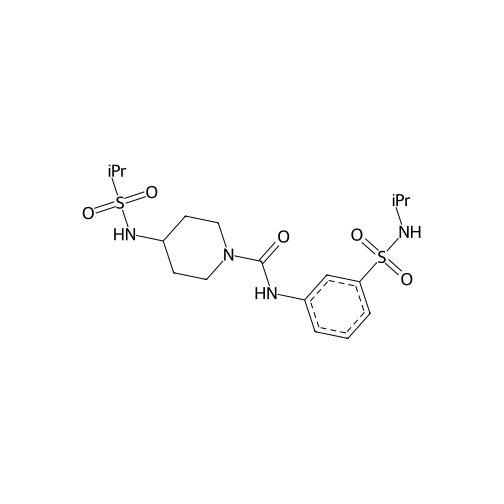 CC(C)NS(=O)(=O)c1cccc(NC(=O)N2CCC(NS(=O)(=O)C(C)C)CC2)c1